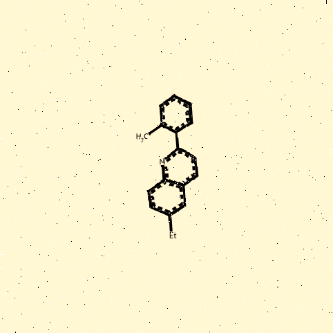 CCc1ccc2nc(-c3ccccc3C)ccc2c1